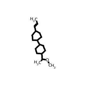 CC=CC1CCC(C2CCC(C(C)OC)CC2)CC1